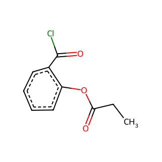 CCC(=O)Oc1ccccc1C(=O)Cl